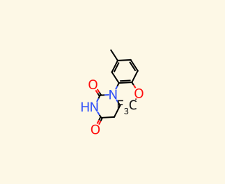 Cc1ccc(OC(F)(F)F)c(N2CCC(=O)NC2=O)c1